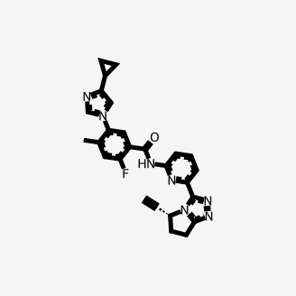 C#C[C@H]1CCc2nnc(-c3cccc(NC(=O)c4cc(-n5cnc(C6CC6)c5)c(C)cc4F)n3)n21